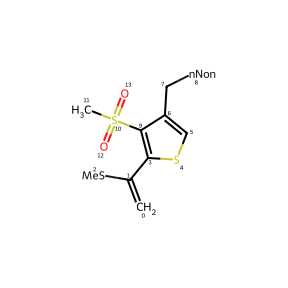 C=C(SC)c1scc(CCCCCCCCCC)c1S(C)(=O)=O